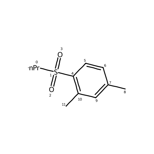 CC[CH]S(=O)(=O)c1ccc(C)cc1C